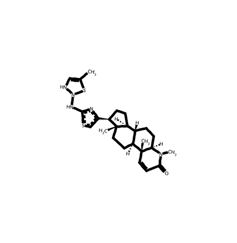 CC1=CNN(Nc2nc([C@H]3CC[C@H]4[C@@H]5CC[C@H]6N(C)C(=O)C=C[C@]6(C)[C@H]5CC[C@]34C)cs2)S1